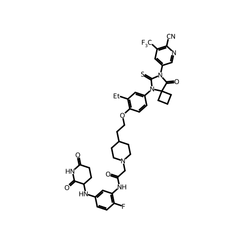 CCc1cc(N2C(=S)N(c3cnc(C#N)c(C(F)(F)F)c3)C(=O)C23CCC3)ccc1OCCC1CCN(CC(=O)Nc2cc(NC3CCC(=O)NC3=O)ccc2F)CC1